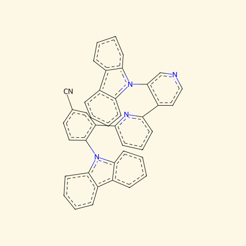 N#Cc1ccc(-n2c3ccccc3c3ccccc32)c(-c2cccc(-c3ccncc3-n3c4ccccc4c4ccccc43)n2)c1